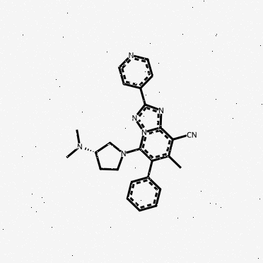 Cc1c(-c2ccccc2)c(N2CC[C@H](N(C)C)C2)n2nc(-c3ccncc3)nc2c1C#N